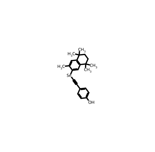 Cc1cc2c(cc1[Se]C#Cc1ccc(O)cc1)C(C)(C)CCC2(C)C